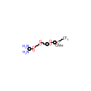 COc1cc(C(=O)Oc2ccc(C=CC(=O)OCCCCOC(=O)c3cc(N)cc(N)c3)cc2)ccc1OCCCCC(F)(F)F